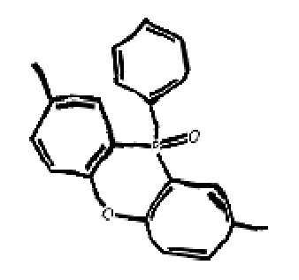 Cc1ccc2c(c1)P(=O)(c1ccccc1)c1cc(C)ccc1O2